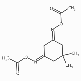 CC(=O)ON=C1CC(=NOC(C)=O)CC(C)(C)C1